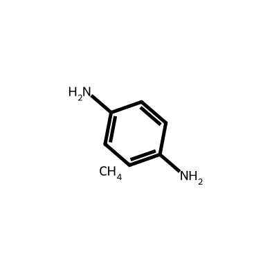 C.Nc1ccc(N)cc1